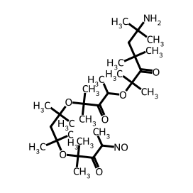 CC(N=O)C(=O)C(C)(C)OC(C)(C)CC(C)(C)OC(C)(C)C(=O)C(C)OC(C)(C)C(=O)C(C)(C)CC(C)(C)N